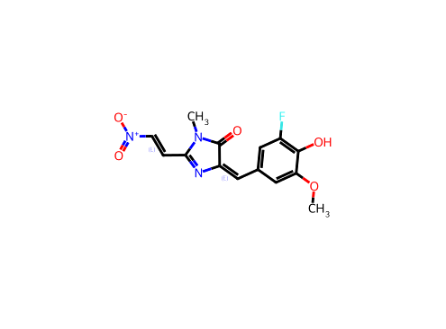 COc1cc(/C=C2N=C(/C=C/[N+](=O)[O-])N(C)C/2=O)cc(F)c1O